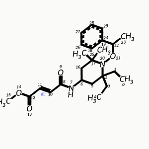 CCC1(CC)CC(NC(=O)/C=C/C(=O)OC)CC(C)(C)N1OC(C)c1ccccc1